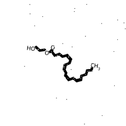 CCCCC/C=C\C/C=C\C/C=C\C/C=C\CCCC(=O)OCCCO